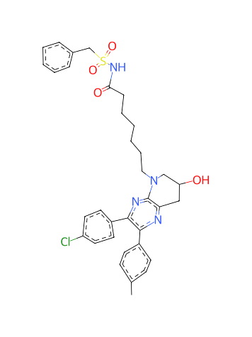 Cc1ccc(-c2nc3c(nc2-c2ccc(Cl)cc2)N(CCCCCCC(=O)NS(=O)(=O)Cc2ccccc2)CC(O)C3)cc1